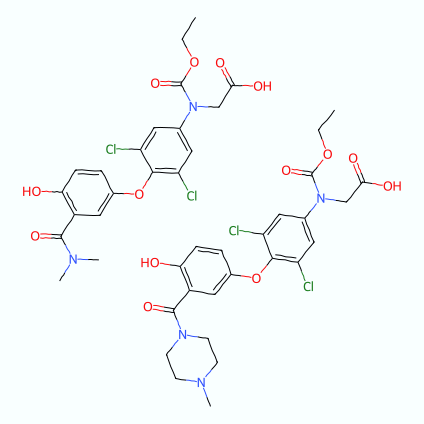 CCOC(=O)N(CC(=O)O)c1cc(Cl)c(Oc2ccc(O)c(C(=O)N(C)C)c2)c(Cl)c1.CCOC(=O)N(CC(=O)O)c1cc(Cl)c(Oc2ccc(O)c(C(=O)N3CCN(C)CC3)c2)c(Cl)c1